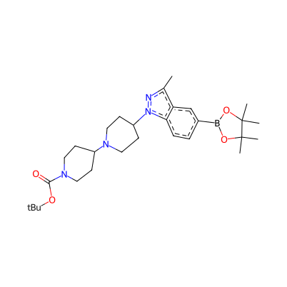 Cc1nn(C2CCN(C3CCN(C(=O)OC(C)(C)C)CC3)CC2)c2ccc(B3OC(C)(C)C(C)(C)O3)cc12